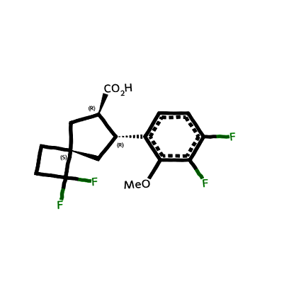 COc1c([C@@H]2C[C@@]3(CCC3(F)F)C[C@H]2C(=O)O)ccc(F)c1F